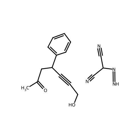 CC(=O)CC(C#CCO)c1ccccc1.N#CC(C#N)N=N